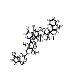 CN[C@H](C(=O)N[C@H](C(=O)N(C)[C@H](/C=C(\C)C(=O)N[C@H](CCC(=O)ON1C(=O)CCC1=O)C(=O)O)C(C)C)C(C)(C)C)C(C)(C)c1cn(C)c2ccccc12